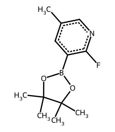 Cc1cnc(F)c(B2OC(C)(C)C(C)(C)O2)c1